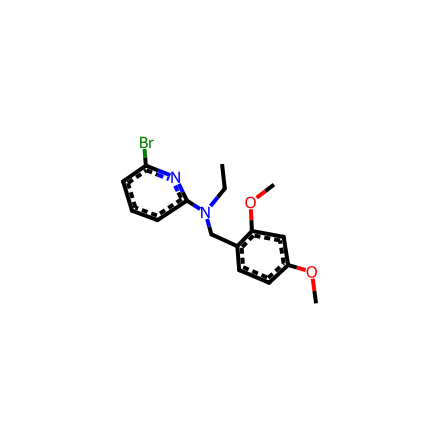 CCN(Cc1ccc(OC)cc1OC)c1cccc(Br)n1